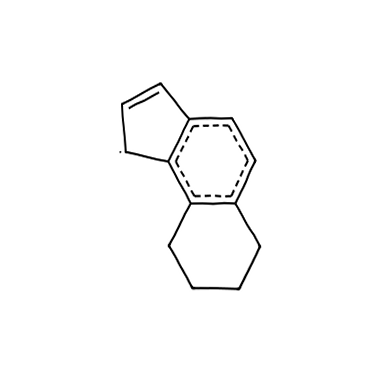 [CH]1C=Cc2ccc3c(c21)CCCC3